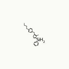 CCCCc1ccc(CC2=C(C)C([SiH2]c3ccccc3)=CC2)cc1